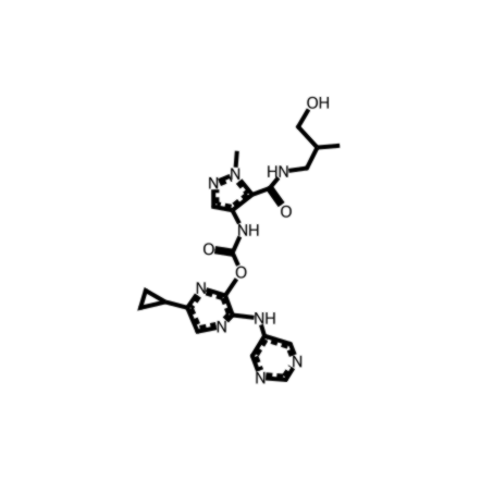 CC(CO)CNC(=O)c1c(NC(=O)Oc2nc(C3CC3)cnc2Nc2cncnc2)cnn1C